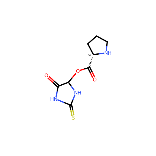 O=C1NC(=S)NC1OC(=O)[C@@H]1CCCN1